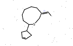 C/C=C1/CCCCCC(C2CC=CC2)SC1